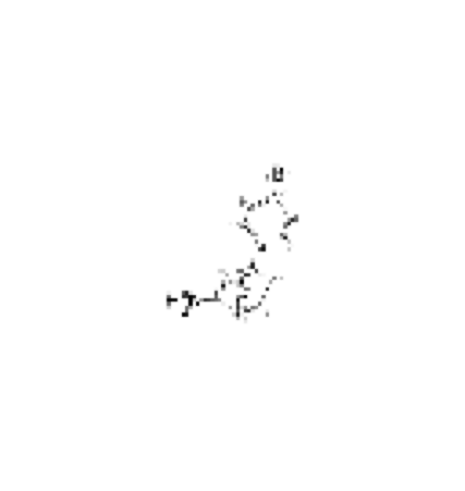 NC1CC2(c3ccc(Br)cc3)CC[C]1CC2